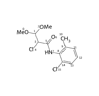 COC(OC)C(Cl)C(=O)Nc1c(C)cccc1Cl